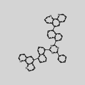 c1ccc(-c2nc(-c3cccc4c(-c5cc6cccnc6c6ncccc56)cccc34)nc(-c3cccc4c(-c5cc6cccnc6c6ncccc56)cccc34)n2)cc1